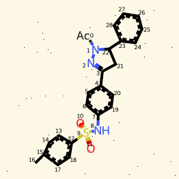 CC(=O)N1N=C(c2ccc(NS(=O)(=O)c3ccc(C)cc3)cc2)CC1c1ccccc1